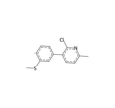 CSc1[c]ccc(-c2ccc(C)nc2Cl)c1